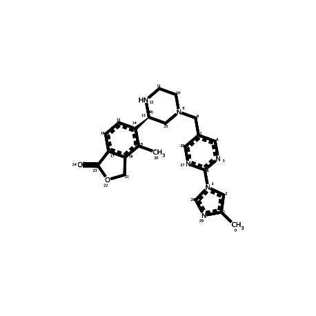 Cc1cn(-c2ncc(CN3CCN[C@H](c4ccc5c(c4C)COC5=O)C3)cn2)cn1